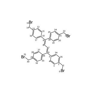 BrCc1ccc(C(=CC=C(c2ccc(CBr)cc2)c2ccc(CBr)cc2)c2ccc(CBr)cc2)cc1